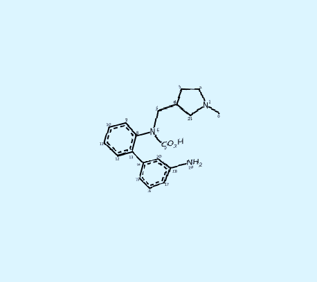 CN1CCC(CN(C(=O)O)c2ccccc2-c2cccc(N)c2)C1